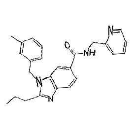 CCCc1nc2ccc(C(=O)NCc3ccccn3)cc2n1Cc1cccc(C)c1